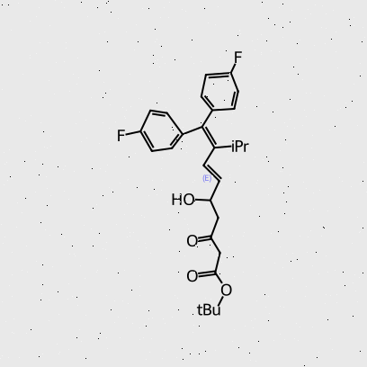 CC(C)C(/C=C/C(O)CC(=O)CC(=O)OC(C)(C)C)=C(c1ccc(F)cc1)c1ccc(F)cc1